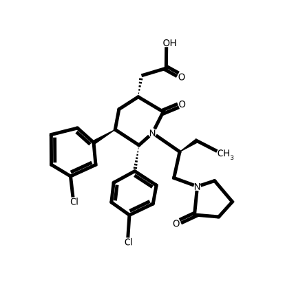 CC[C@@H](CN1CCCC1=O)N1C(=O)[C@@H](CC(=O)O)C[C@H](c2cccc(Cl)c2)[C@H]1c1ccc(Cl)cc1